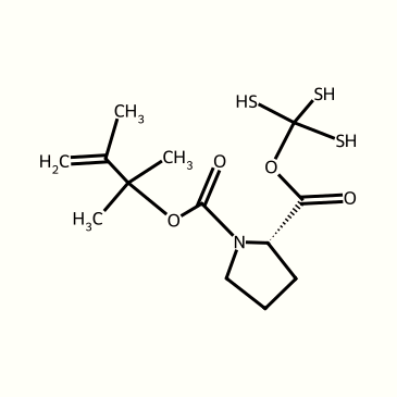 C=C(C)C(C)(C)OC(=O)N1CCC[C@H]1C(=O)OC(S)(S)S